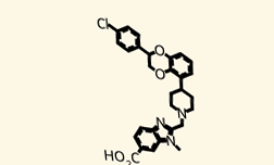 Cn1c(CN2CCC(c3cccc4c3OCC(c3ccc(Cl)cc3)O4)CC2)nc2ccc(C(=O)O)cc21